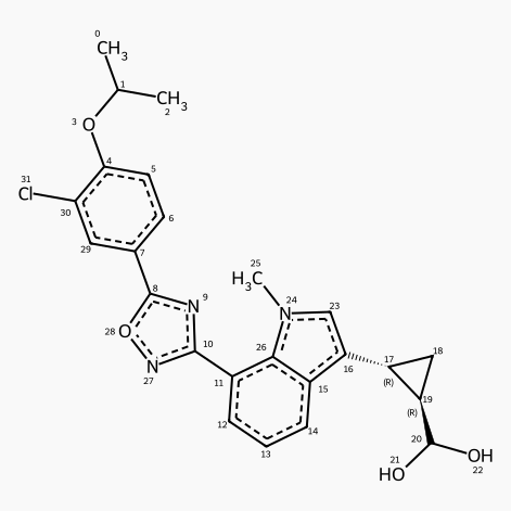 CC(C)Oc1ccc(-c2nc(-c3cccc4c([C@@H]5C[C@H]5C(O)O)cn(C)c34)no2)cc1Cl